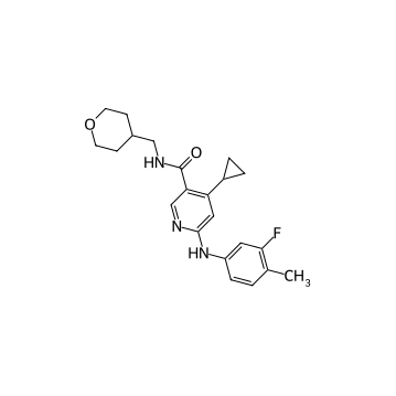 Cc1ccc(Nc2cc(C3CC3)c(C(=O)NCC3CCOCC3)cn2)cc1F